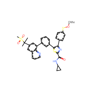 COOSc1ccc(-c2nc(C(=O)NC3CC3)sc2-c2cccc(-c3cc(C(C)(C)S(C)(=O)=O)cc4cccnc34)c2)cc1